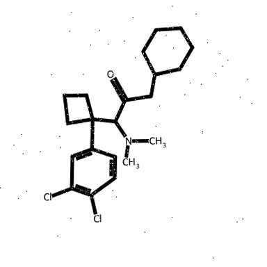 CN(C)C(C(=O)CC1CCCCC1)C1(c2ccc(Cl)c(Cl)c2)CCC1